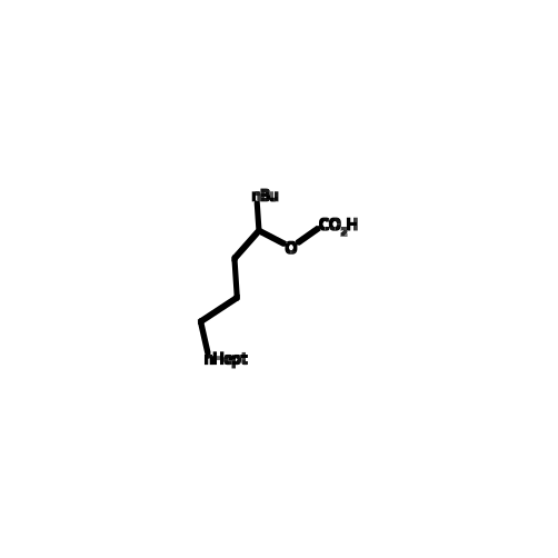 CCCCCCCCCCC(CCCC)OC(=O)O